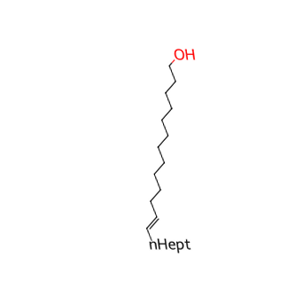 CCCCCCCC=CCCCCCCCCCCCO